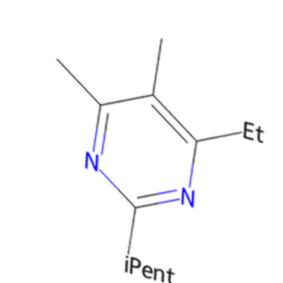 CCCC(C)c1nc(C)c(C)c(CC)n1